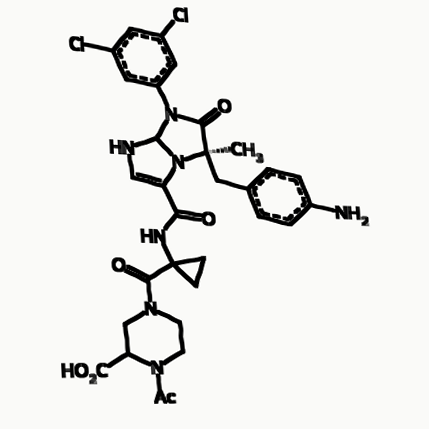 CC(=O)N1CCN(C(=O)C2(NC(=O)C3=CNC4N(c5cc(Cl)cc(Cl)c5)C(=O)[C@@](C)(Cc5ccc(N)cc5)N34)CC2)CC1C(=O)O